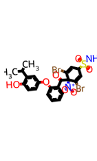 CC(C)c1cc(Oc2ccccc2C(=O)C2([N+](=O)[O-])C(Br)=CC(S(N)(=O)=O)C=C2Br)ccc1O